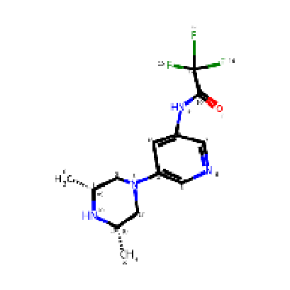 C[C@@H]1CN(c2cncc(NC(=O)C(F)(F)F)c2)C[C@H](C)N1